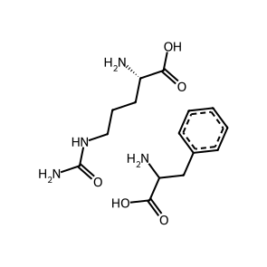 NC(=O)NCCC[C@H](N)C(=O)O.NC(Cc1ccccc1)C(=O)O